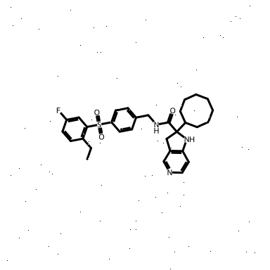 CCc1ccc(F)cc1S(=O)(=O)c1ccc(CNC(=O)C2(C3CCCCCCC3)Cc3cnccc3N2)cc1